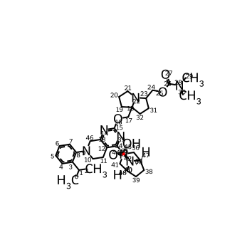 CC(C)c1ccccc1N1CCc2c(nc(OCC34CCCN3C(COC(=O)N(C)C)CC4)nc2N2C[C@H]3CC[C@@H](C2)N3C(=O)O)C1